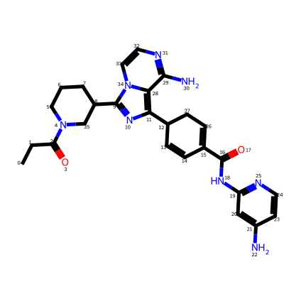 CCC(=O)N1CCCC(c2nc(C3C=CC(C(=O)Nc4cc(N)ccn4)=CC3)c3c(N)nccn23)C1